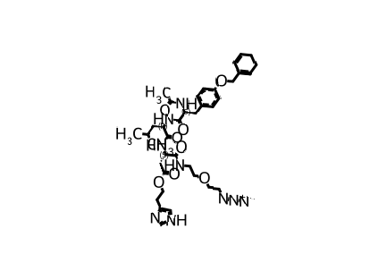 CC(=O)N[C@@H](Cc1ccc(OCC2=CCCC=C2)cc1)C(=O)N[C@H](CC(C)C)C(=O)N[C@@H](CC(=O)OCCc1c[nH]cn1)C(=O)NCCOCCN=[N+]=[N-]